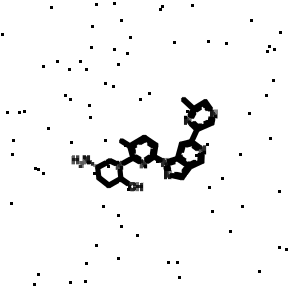 Cc1cncc(-c2cc3c(cn2)cnn3-c2ccc(C)c(N3C[C@@H](N)CCC3O)n2)n1